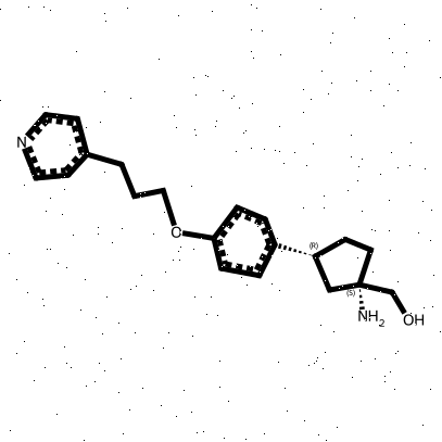 N[C@@]1(CO)CC[C@@H](c2ccc(OCCCc3ccncc3)cc2)C1